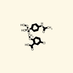 CC(=O)Nc1ccc([As](=O)(O)OO)cc1.COc1ccc(Cl)cc1C(=O)O